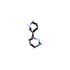 [c]1ccc(-c2cccnc2)nc1